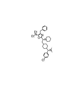 CCN(CC)c1oc(C(CC2CCC(C(c3ccc(Cl)cc3)N(C)C)CC2)N2CCCCC2)nc1Cc1ccccc1